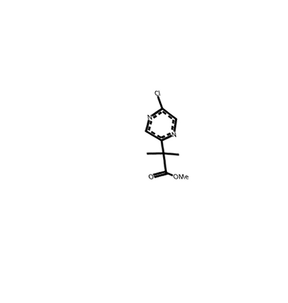 COC(=O)C(C)(C)c1cnc(Cl)cn1